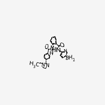 Bc1ccc(NC(=O)c2ccccc2NC(=O)c2ccc(C3=NCCN3CC)cc2)nc1